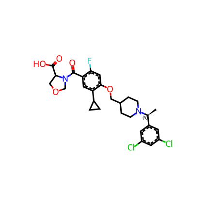 C[C@@H](c1cc(Cl)cc(Cl)c1)N1CCC(COc2cc(F)c(C(=O)N3COCC3C(=O)O)cc2C2CC2)CC1